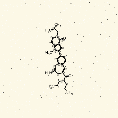 CCCN(CCC)C(=O)C1=Cc2ccc(-c3cc4c(=O)n(CC(C)C)ccc4n3C)cc2N=C(N)C1